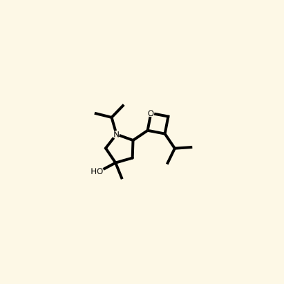 CC(C)C1COC1C1CC(C)(O)CN1C(C)C